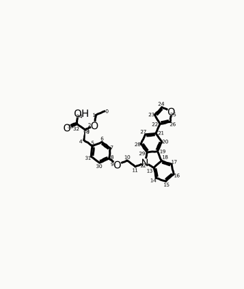 CCO[C@@H](Cc1ccc(OCCn2c3ccccc3c3cc(-c4ccoc4)ccc32)cc1)C(=O)O